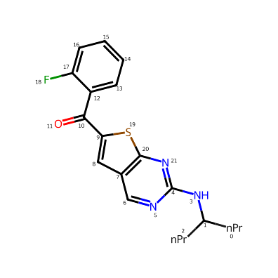 CCCC(CCC)Nc1ncc2cc(C(=O)c3ccccc3F)sc2n1